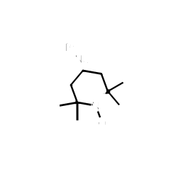 CC1(C)CCCC(C)(C)[NH+]1[O-].[Br-].[Na+]